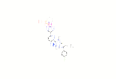 CCN(c1nc(-c2ccc(F)cc2)c(C#N)s1)c1c2nc(-c3cnc(N4CCCCS4(O)O)nc3)ccc2nn1CC